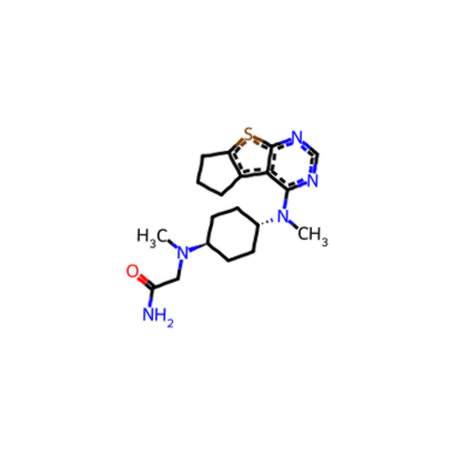 CN(CC(N)=O)[C@H]1CC[C@H](N(C)c2ncnc3sc4c(c23)CCC4)CC1